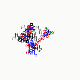 CC[C@H](C)[C@@H]([C@@H](CC(=O)N1CCC[C@H]1[C@H](OC)[C@@H](C)C(=O)N[C@H](C)Cc1ccccc1)OC)N(C)C(=O)[C@@H](NC(=O)[C@H](C(C)C)N(C)C(=O)OCc1ccc(NC(=O)[C@H](CCCNC(N)=O)NC(=O)[C@@H](NC(=O)COCCOCCOCCNC(=O)c2nc(CBr)c(CBr)nc2C(=O)O)C(C)C)cc1)C(C)C